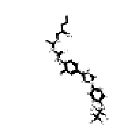 CCCC(=O)CS/C(C)=N\C(=O)Nc1ccc(-c2ncn(-c3ccc(OC(F)(F)C(F)(F)F)cc3)n2)cc1C